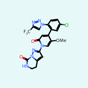 COc1cn(-c2[c]c3n(n2)C(=O)NCC3)c(=O)cc1-c1cc(Cl)ccc1-n1cc(C(F)(F)F)nn1